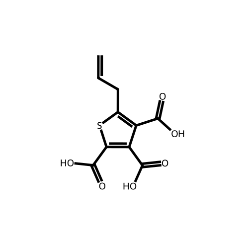 C=CCc1sc(C(=O)O)c(C(=O)O)c1C(=O)O